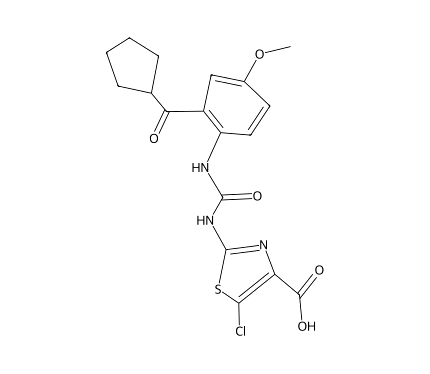 COc1ccc(NC(=O)Nc2nc(C(=O)O)c(Cl)s2)c(C(=O)C2CCCC2)c1